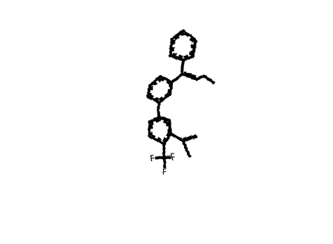 CC/C=C(\c1ccccc1)c1cccc(-c2ccc(C(F)(F)F)c(C(C)C)c2)c1